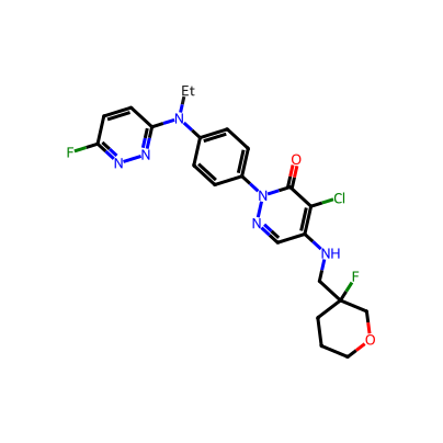 CCN(c1ccc(-n2ncc(NCC3(F)CCCOC3)c(Cl)c2=O)cc1)c1ccc(F)nn1